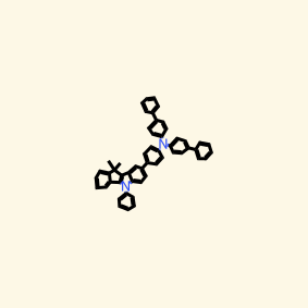 CC1(C)c2ccccc2-c2c1c1cc(-c3ccc(N(c4ccc(-c5ccccc5)cc4)c4ccc(-c5ccccc5)cc4)cc3)ccc1n2-c1ccccc1